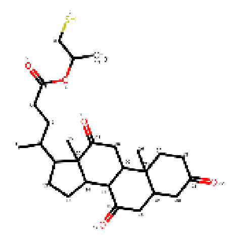 CC(CCC(=O)OC(CS)C(F)(F)F)C1CCC2C3C(=O)CC4CC(=O)CCC4(C)C3CC(=O)C12C